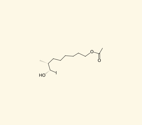 CC(=O)OCCCCCC[C@@H](C)[C@@H](O)I